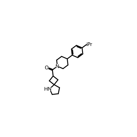 CC(C)c1ccc(C2CCN(C(=O)C3CC4(CCCN4)C3)CC2)cc1